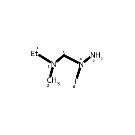 CCN(C)CN(N)I